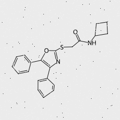 O=C(CSc1nc(-c2ccccc2)c(-c2ccccc2)o1)NC1CCC1